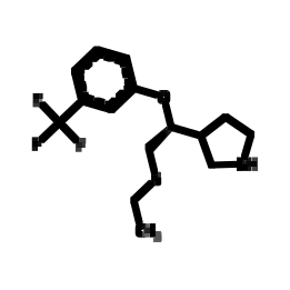 CCSC[C@@H](Oc1cccc(C(F)(F)F)c1)C1CCNC1